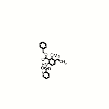 C=Cc1ccc(NS(=O)(=O)c2ccccn2)c(C(=O)OCc2ccccc2)c1OC